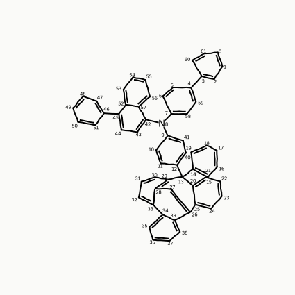 c1ccc(-c2ccc(N(c3ccc(C4(c5ccccc5)c5ccccc5-c5cc6c4cccc6c4ccccc54)cc3)c3ccc(-c4ccccc4)c4ccccc34)cc2)cc1